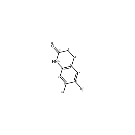 Cc1cc2c(cc1Br)CCC(=O)N2